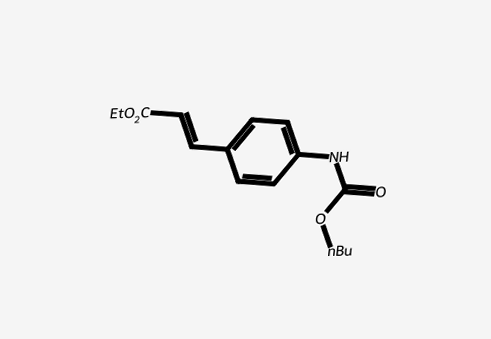 CCCCOC(=O)Nc1ccc(C=CC(=O)OCC)cc1